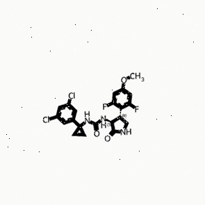 COc1cc(F)c([C@@H]2CNC(=O)[C@H]2NC(=O)NC2(c3cc(Cl)cc(Cl)c3)CC2)c(F)c1